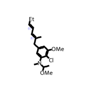 CC/C=C/C=C(\C)Cc1cc(OC)c(Cl)c(N(C)C(C)OC)c1